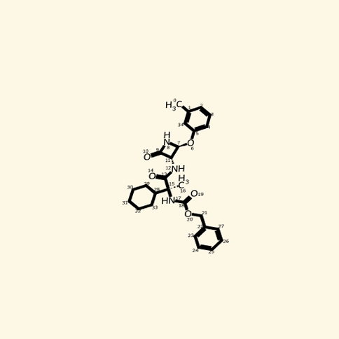 Cc1cccc(O[C@@H]2NC(=O)[C@H]2NC(=O)[C@@](C)(NC(=O)OCc2ccccc2)C2CCCCC2)c1